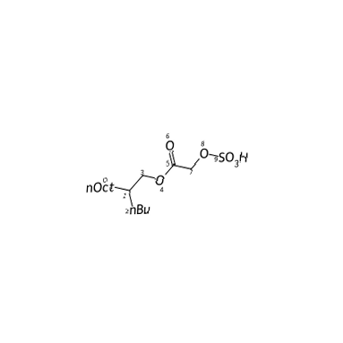 CCCCCCCCC(CCCC)COC(=O)COS(=O)(=O)O